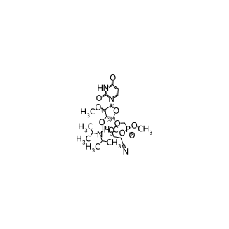 CO[C@@H]1[C@H](OP(OCCC#N)N(C(C)C)C(C)C)[C@@H](OCP(=O)(OC)OC)O[C@H]1n1ccc(=O)[nH]c1=O